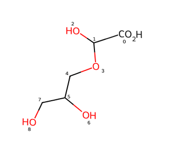 O=C(O)C(O)OCC(O)CO